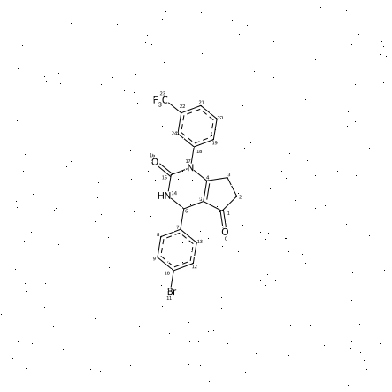 O=C1CCC2=C1C(c1ccc(Br)cc1)NC(=O)N2c1cccc(C(F)(F)F)c1